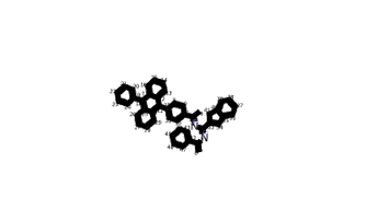 C=C(/N=C(\N=C(/C)c1ccc(-c2c3ccccc3c(-c3ccccc3)c3ccccc23)cc1)C1=Cc2ccccc2C1)c1ccccc1